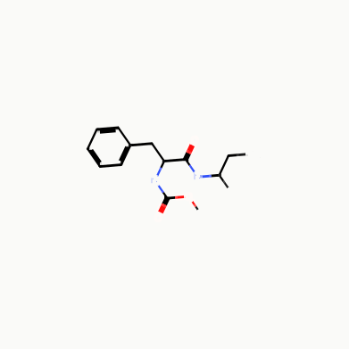 CCOC(=O)C(CC(F)(F)F)NC(=O)C(Cc1ccccc1)NC(=O)OC(C)(C)C